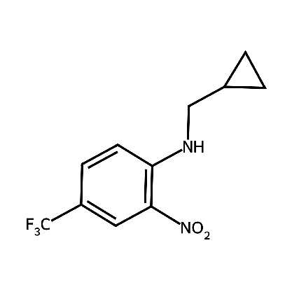 O=[N+]([O-])c1cc(C(F)(F)F)ccc1NCC1CC1